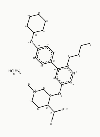 CCCCc1nnc(OC2CN(C)CCC2C(F)F)cc1-c1ccc(OC2CCCCC2)cc1.Cl.Cl